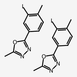 Cc1nnc(-c2ccc(C)c(I)c2)o1.Cc1nnc(-c2ccc(C)c(I)c2)o1